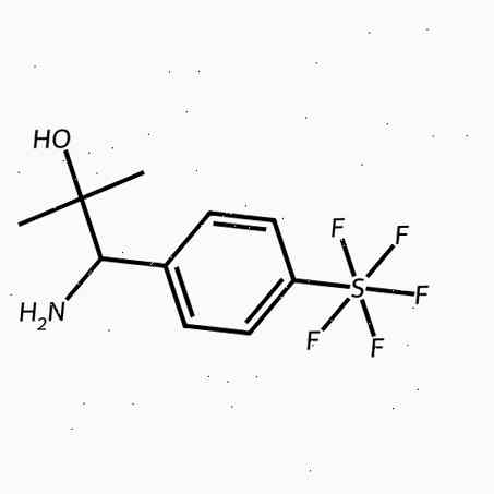 CC(C)(O)C(N)c1ccc(S(F)(F)(F)(F)F)cc1